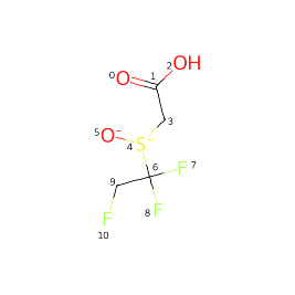 O=C(O)C[S+]([O-])C(F)(F)CF